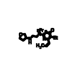 C/C=C\c1nc(N(CCC)CCNC2CCOC2)sc(=O)c1CC